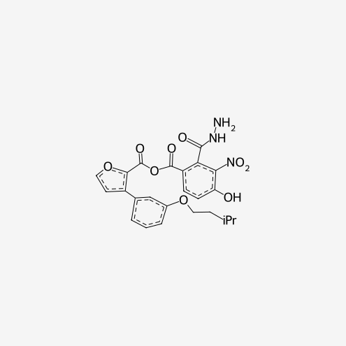 CC(C)CCOc1cccc(-c2ccoc2C(=O)OC(=O)c2ccc(O)c([N+](=O)[O-])c2C(=O)NN)c1